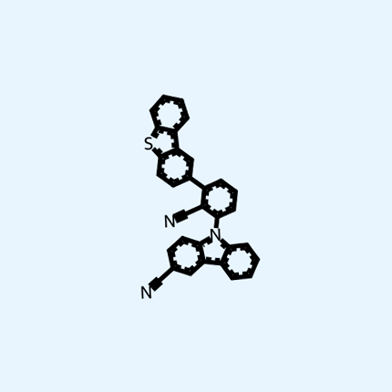 N#Cc1ccc2c(c1)c1ccccc1n2-c1cccc(-c2ccc3sc4ccccc4c3c2)c1C#N